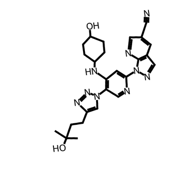 CC(C)(O)CCc1cn(-c2cnc(-n3ncc4cc(C#N)cnc43)cc2NC2CCC(O)CC2)nn1